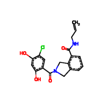 C=CCNC(=O)c1cccc2c1CN(C(=O)c1cc(Cl)c(O)cc1O)C2